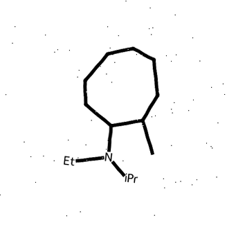 CCN(C(C)C)C1CCCCCCC1C